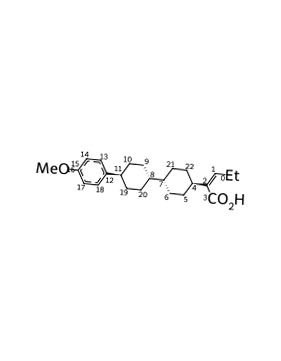 CCC=C(C(=O)O)[C@H]1CC[C@H]([C@H]2CC[C@H](c3ccc(OC)cc3)CC2)CC1